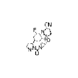 N#Cc1ccc(OC2CN(C(=O)N3N=CC[C@H]3C3CC(F)CC(F)C3)C2)cn1